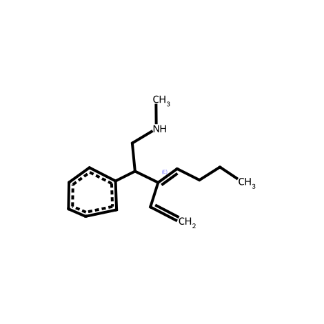 C=C/C(=C\CCC)C(CNC)c1ccccc1